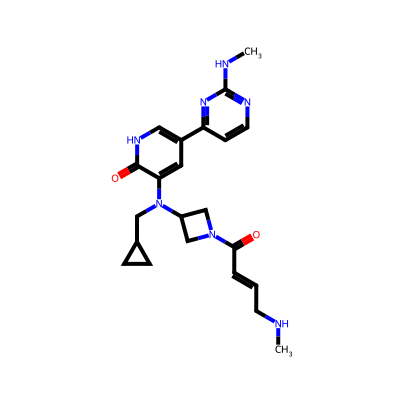 CNCC=CC(=O)N1CC(N(CC2CC2)c2cc(-c3ccnc(NC)n3)c[nH]c2=O)C1